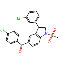 CS(=O)(=O)N1CC(c2cccc(Cl)c2)c2cc(C(=O)c3ccc(Cl)cc3)ccc21